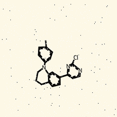 Cc1ccc(N2CCCc3ccc(-c4ccnc(Cl)n4)cc32)cc1